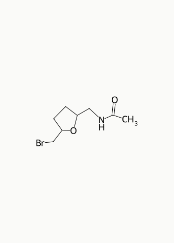 CC(=O)NCC1CCC(CBr)O1